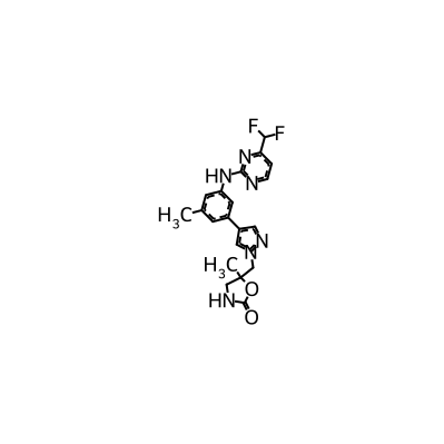 Cc1cc(Nc2nccc(C(F)F)n2)cc(-c2cnn(CC3(C)CNC(=O)O3)c2)c1